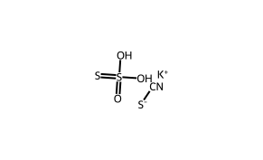 N#C[S-].O=S(O)(O)=S.[K+]